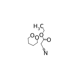 C1CCOOC1.CCOC(=O)CC#N